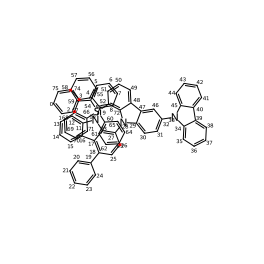 c1ccc(-c2ccccc2-n2c3ccccc3c3c(-c4ccccc4)ccc(-n4c5ccc(-n6c7ccccc7c7ccccc76)cc5c5cccc([Si](c6ccccc6)(c6ccccc6)c6ccccc6)c54)c32)cc1